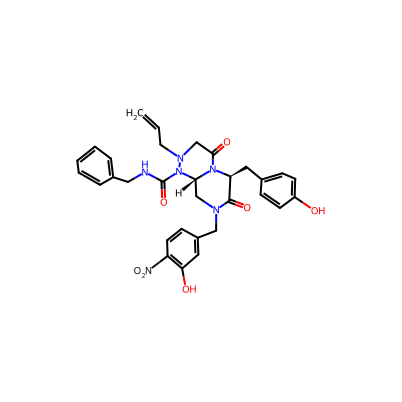 C=CCN1CC(=O)N2[C@@H](Cc3ccc(O)cc3)C(=O)N(Cc3ccc([N+](=O)[O-])c(O)c3)C[C@@H]2N1C(=O)NCc1ccccc1